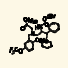 COC(=O)CN(Cc1cc(OC(F)(F)F)ccc1OC)CC(NC(=O)OC(C)(C)C)C(c1ccccc1)c1ccccc1